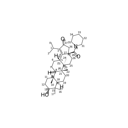 CC(C)C1=C2[C@H]3CC[C@@H]4[C@@]5(C)CC[C@H](O)C(C)(C)[C@@H]5CC[C@@]4(C)[C@]3(C)CC[C@@]2(C(=O)N2CCCCC2)CC1=O